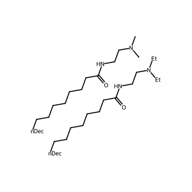 CCCCCCCCCCCCCCCCCC(=O)NCCN(C)C.CCCCCCCCCCCCCCCCCC(=O)NCCN(CC)CC